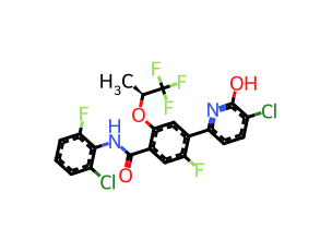 C[C@H](Oc1cc(-c2ccc(Cl)c(O)n2)c(F)cc1C(=O)Nc1c(F)cccc1Cl)C(F)(F)F